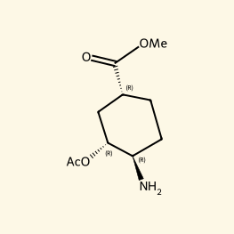 COC(=O)[C@@H]1CC[C@@H](N)[C@H](OC(C)=O)C1